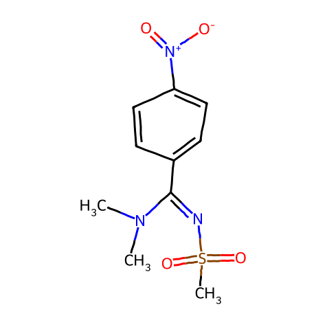 CN(C)/C(=N\S(C)(=O)=O)c1ccc([N+](=O)[O-])cc1